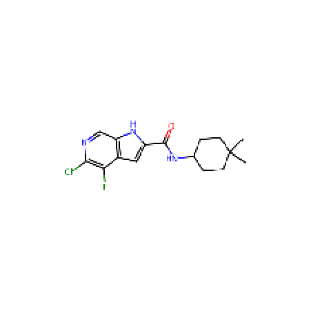 CC1(C)CCC(NC(=O)c2cc3c(F)c(Cl)ncc3[nH]2)CC1